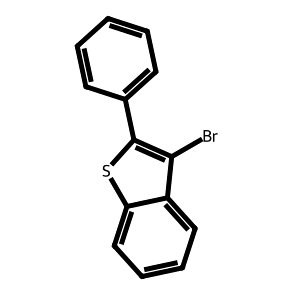 Brc1c(-c2ccccc2)sc2ccccc12